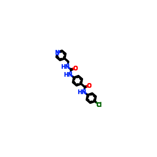 O=C(NCc1ccncc1)Nc1ccc(C(=O)Nc2ccc(Cl)cc2)cc1